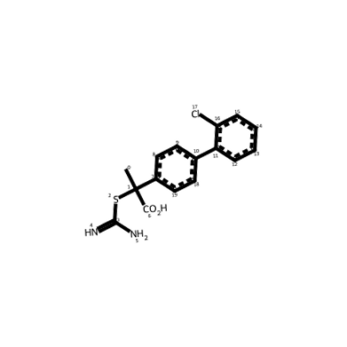 CC(SC(=N)N)(C(=O)O)c1ccc(-c2ccccc2Cl)cc1